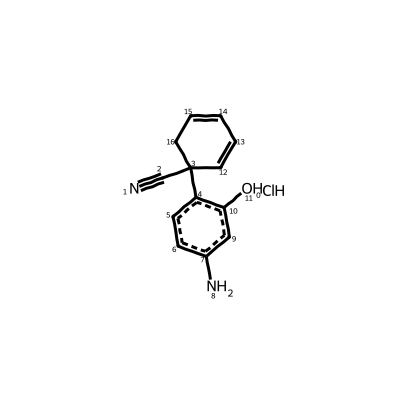 Cl.N#CC1(c2ccc(N)cc2O)C=CC=CC1